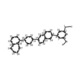 CCc1cc(CC)cc(-c2ccc3cc(-c4ccc(-c5cccc6ccccc56)cc4)ccc3c2)c1